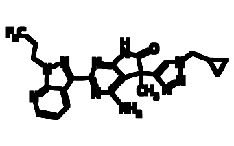 CC1(c2cn(CC3CC3)nn2)C(=O)Nc2nc(-c3nn(CCC(F)(F)F)c4ncccc34)nc(N)c21